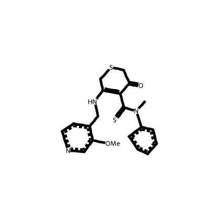 COc1cnccc1CNC1=C(C(=S)N(C)c2ccccc2)C(=O)CSC1